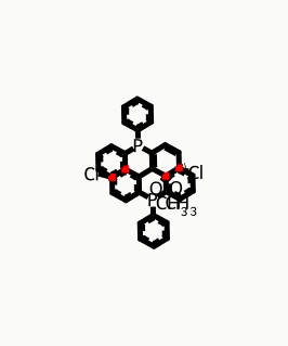 COC1(OC)C(c2cc(Cl)ccc2P(c2ccccc2)c2ccccc2)=C(P(c2ccccc2)c2ccccc2)C=C[C@H]1Cl